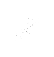 COC(C)c1nc2c(cc1C)C[C@@H]1CN(C(=O)OC(C)(C)C)C[C@@H](C)N21